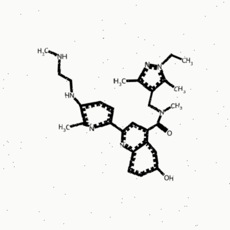 CCn1nc(C)c(CN(C)C(=O)c2cc(-c3ccc(NCCNC)c(C)n3)nc3ccc(O)cc23)c1C